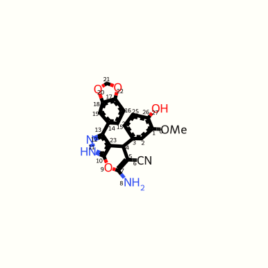 COc1cc(C2C(C#N)=C(N)Oc3[nH]nc(-c4ccc5c(c4)OCO5)c32)ccc1O